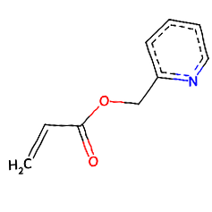 C=CC(=O)OCc1ccccn1